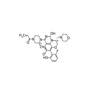 C=CC(=O)N1CCN(C2=NC(O)N3c4c2cc(Cl)c(-c2c(O)cccc2F)c4OC[C@H]3CN2CCOCC2)[C@@H](C)C1